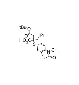 CC(C)C[C@@](CC(=O)OC(C)(C)C)(Sc1ccc2c(c1)CCC(=O)N2C)C(=O)O